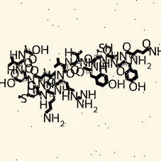 CC[C@H](C)[C@H](NC(=O)[C@H](CCSC)NC(=O)[C@H](CCCCN)NC(=O)[C@H](CCCNC(=N)N)NC(=O)[C@@H](NC(=O)[C@@H](NC(=O)[C@H](Cc1ccc(O)cc1)NC(=O)[C@H](CS)NC(=O)[C@H](C)NC(=O)[C@H](Cc1ccc(O)cc1)NC(=O)[C@@H](N)CCC(N)=O)C(C)C)C(C)C)C(=O)N[C@@H](CC(=O)O)C(=O)N[C@H](C(=O)N[C@@H](C)C(=O)O)C(C)C